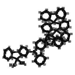 CC1(C)c2ccccc2-c2ccc(-n3c4ccccc4c4cc(N(c5ccccc5)c5cccc6c5C5(c7ccccc7-c7ccccc75)c5ccccc5C65c6ccccc6-c6ccccc65)ccc43)cc21